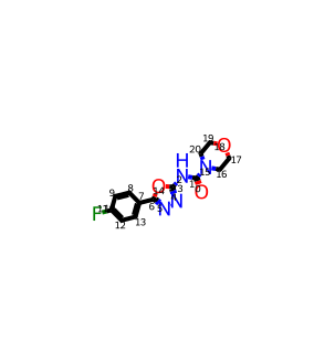 O=C(Nc1nnc(-c2ccc(F)cc2)o1)N1CCOCC1